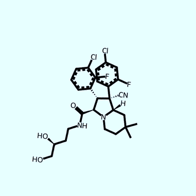 CC1(C)CCN2[C@@H](C1)[C@](C#N)(c1ccc(Cl)cc1F)[C@@H](c1cccc(Cl)c1F)[C@@H]2C(=O)NCC[C@H](O)CO